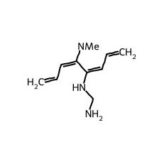 C=C/C=C(NC)\C(=C/C=C)NCN